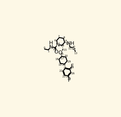 CCNC(=O)N1CCC[C@H](NCSC)[C@@H]1CO[C@H]1CC[C@@H](c2ccc(F)cc2F)CC1